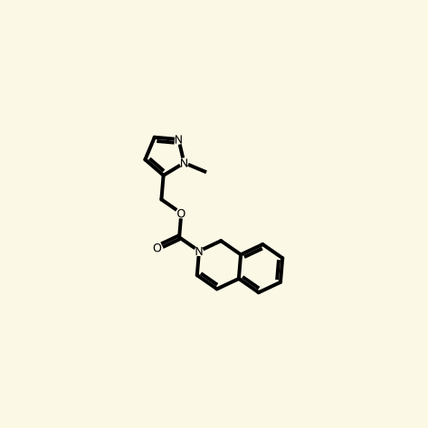 Cn1nccc1COC(=O)N1C=Cc2ccccc2C1